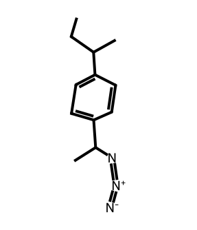 CCC(C)c1ccc(C(C)N=[N+]=[N-])cc1